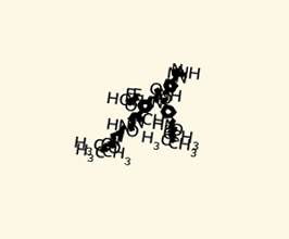 Cc1nc(C(=O)NC2C3CN(C(=O)OC(C)(C)C)CC32)ccc1-c1ccc(C[C@H](NC(=O)[C@H]2CC[C@H](CNC(=O)OC(C)(C)C)CC2)C(=O)Nc2ccc(-c3nn[nH]n3)cc2)cc1.O=C(O)C(F)(F)F